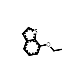 CCOc1cccc2[c]csc12